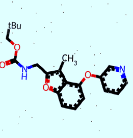 Cc1c(CNC(=O)OCC(C)(C)C)oc2cccc(Oc3cccnc3)c12